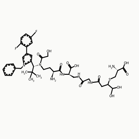 CC(C)(C)[C@H](c1cc(-c2cc(F)ccc2F)cn1Cc1ccccc1)N(CC[C@H](N)C(=O)N[C@H](CNC(=O)CNC(=O)CC(SC[C@H](N)C(=O)O)C(O)O)C(=O)O)C(=O)CO